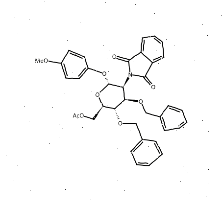 COc1ccc(O[C@H]2O[C@H](COC(C)=O)[C@@H](OCc3ccccc3)[C@H](OCc3ccccc3)[C@@H]2N2C(=O)c3ccccc3C2=O)cc1